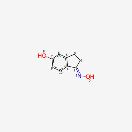 O/N=C1\CCc2cc(O)ccc21